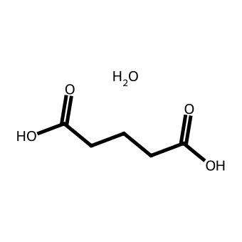 O.O=C(O)CCCC(=O)O